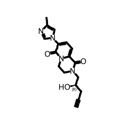 C#CC[C@@H](O)CN1CCn2c(ccc(-n3cnc(C)c3)c2=O)C1=O